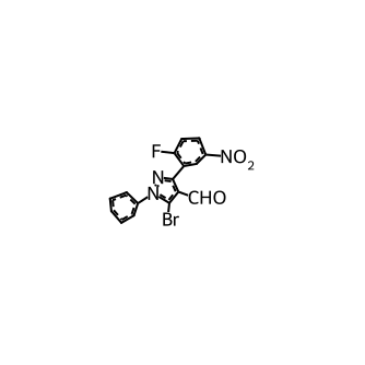 O=Cc1c(-c2cc([N+](=O)[O-])ccc2F)nn(-c2ccccc2)c1Br